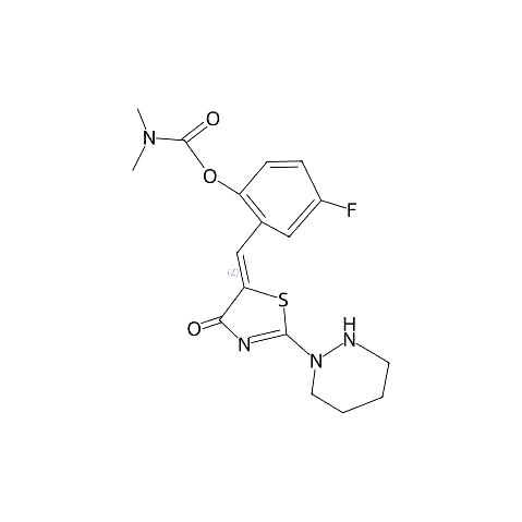 CN(C)C(=O)Oc1ccc(F)cc1/C=C1\SC(N2CCCCN2)=NC1=O